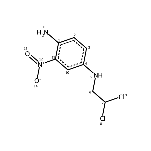 Nc1ccc(NCC(Cl)Cl)cc1[N+](=O)[O-]